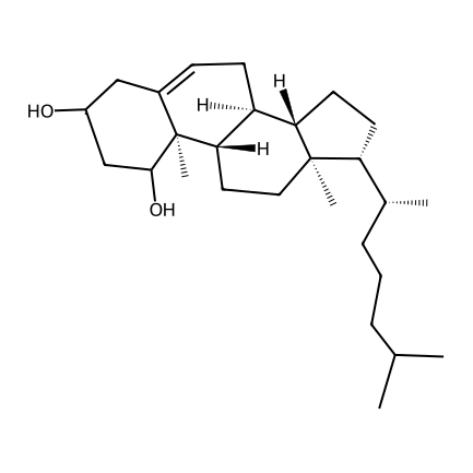 CC(C)CCC[C@@H](C)[C@H]1CC[C@H]2[C@@H]3CC=C4C[C](O)CC(O)[C@]4(C)[C@H]3CC[C@]12C